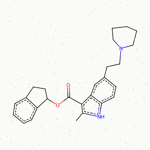 Cc1[nH]c2ccc(CCN3CCCCC3)cc2c1C(=O)OC1CCc2ccccc21